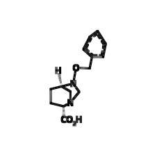 O=C(O)[C@@H]1CC[C@@H]2CN1CN2OCc1ccccc1